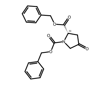 O=C1C[C@@H](C(=O)OCc2ccccc2)N(C(=O)OCc2ccccc2)C1